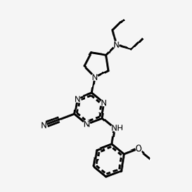 CCN(CC)C1CCN(c2nc(C#N)nc(Nc3ccccc3OC)n2)C1